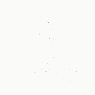 FC(F)(F)c1ccc(-n2c3ccccc3c3c4c(c5ccccc5n4-c4ccccc4)c4c(c5ccccc5n4-c4ccc(-c5nc(-c6ccccc6)nc(-c6ccccc6)n5)cc4)c32)cc1